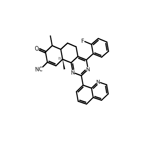 CC1C(=O)C(C#N)=C[C@@]2(C)c3nc(-c4cccc5cccnc45)nc(-c4ccccc4F)c3CCC12